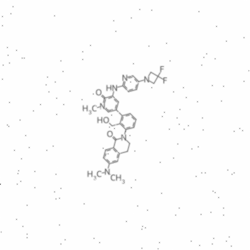 CN(C)c1ccc2c(c1)CCN(c1cccc(-c3cc(Nc4ccc(N5CC(F)(F)C5)cn4)c(=O)n(C)c3)c1CO)C2=O